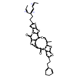 C\C=C/C=C(\C=C/C)CCc1cc2c(nc3c4ccc(C)c5nc6sc(CCC7=CCCC=C7)cc6n5c(=O)c5cc4c(s5)c(=O)n23)s1